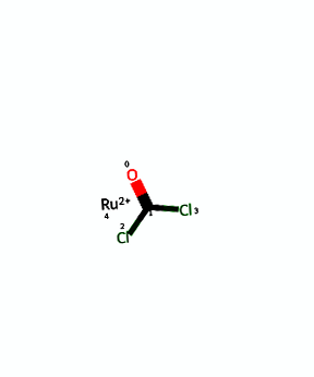 O=C(Cl)Cl.[Ru+2]